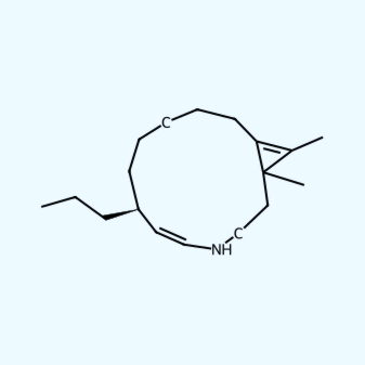 CCC[C@@H]1/C=C\NCCC2(C)C(C)=C2CCCCC1